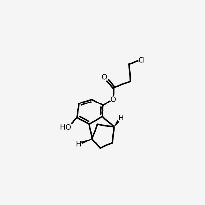 O=C(CCCl)Oc1ccc(O)c2c1[C@@H]1CC[C@H]2C1